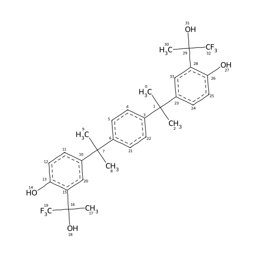 CC(C)(c1ccc(C(C)(C)c2ccc(O)c(C(C)(O)C(F)(F)F)c2)cc1)c1ccc(O)c(C(C)(O)C(F)(F)F)c1